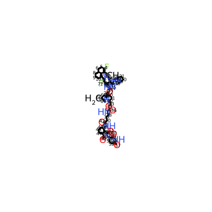 C#Cc1c(F)ccc2cccc(-c3ncc4c(N5CC6CCC(C5)N6)nc(OCC56CCC(COC(=O)NCCCC(=O)Nc7cccc8c7C(=O)N(C7CCC(=O)NC7=O)C8=O)N5CC(=C)C6)nc4c3F)c12